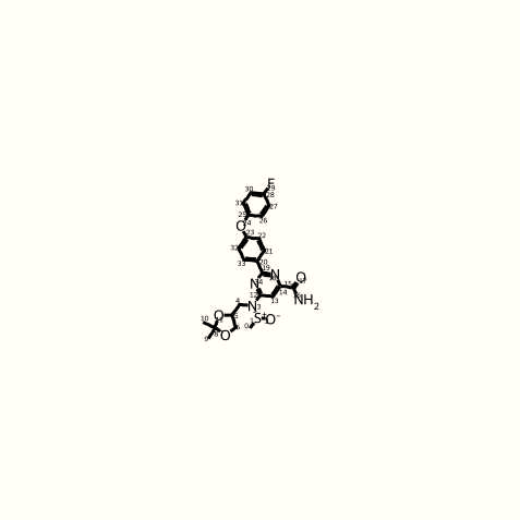 C[S+]([O-])N(CC1COC(C)(C)O1)c1cc(C(N)=O)nc(-c2ccc(Oc3ccc(F)cc3)cc2)n1